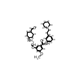 COc1cc(OC)cc(C(=O)Nc2cccc(CCN3CCCCC3)c2)c1.NC1CCC(C=O)CC1